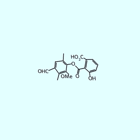 COc1c(C)c(C=O)cc(C)c1OC(=O)c1c(O)cccc1C(=O)O